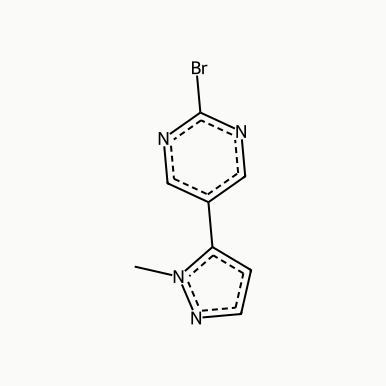 Cn1nccc1-c1cnc(Br)nc1